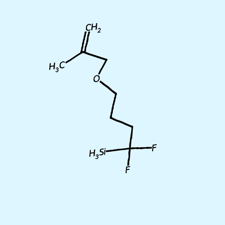 C=C(C)COCCCC(F)(F)[SiH3]